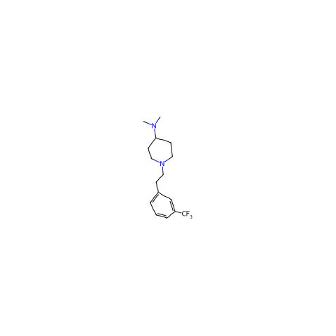 CN(C)C1CCN(CCc2cccc(C(F)(F)F)c2)CC1